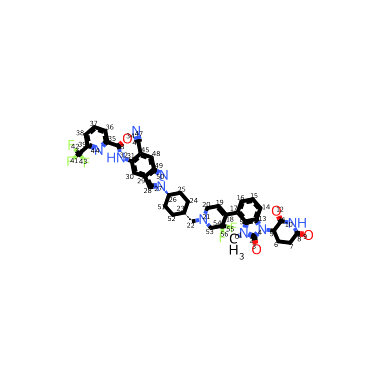 Cn1c(=O)n(C2CCC(=O)NC2=O)c2cccc(C3=CCN(C[C@H]4CC[C@H](n5cc6cc(NC(=O)c7cccc(C(F)(F)F)n7)c(C#N)cc6n5)CC4)CC3(F)F)c21